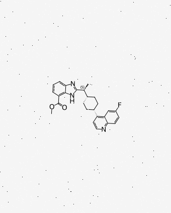 COC(=O)c1cccc2nc([C@@H](C)[C@H]3CC[C@@H](c4ccnc5ccc(F)cc54)CC3)[nH]c12